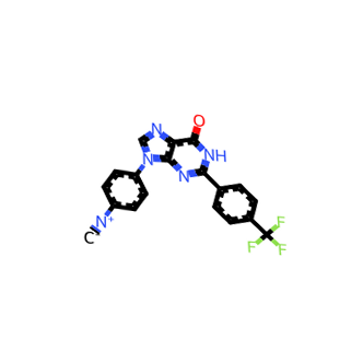 [C-]#[N+]c1ccc(-n2cnc3c(=O)[nH]c(-c4ccc(C(F)(F)F)cc4)nc32)cc1